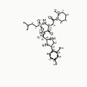 CC(C)CCS(=O)(=O)N[C@@H](CC(=O)N1CCCC[C@@H]1C)C(=O)N[C@@H](C)C1NCC(c2ccc(F)cc2F)N1